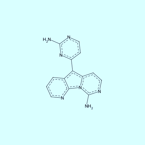 Nc1nccc(-c2c3cccnc3n3c(N)nccc23)n1